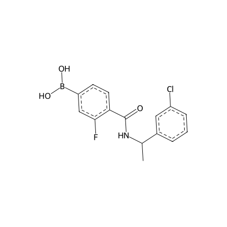 CC(NC(=O)c1ccc(B(O)O)cc1F)c1cccc(Cl)c1